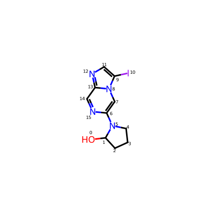 OC1CCCN1c1cn2c(I)cnc2cn1